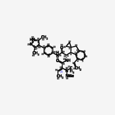 C=Cc1cccc2c1C([C@H](NC(=O)/C(=C/C)N(C)NC)C(=O)Nc1ccc(-c3c(C)n[nH]c3C)cc1)C1(CC1)C2